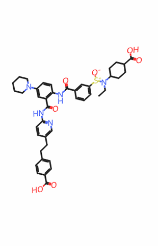 CCN(C1CCC(C(=O)O)CC1)[S+]([O-])c1cccc(C(=O)Nc2ccc(N3CCCCC3)cc2C(=O)Nc2ccc(CCc3ccc(C(=O)O)cc3)cn2)c1